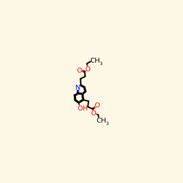 CCOC(=O)CCc1ccc2c(CCC(=O)OCC)c(O)ccc2n1